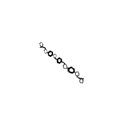 c1cc(COc2ccc(OCC3CO3)cc2)ccc1COc1ccc(OCC2CO2)cc1